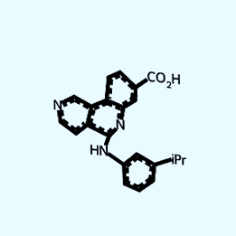 CC(C)c1cccc(Nc2nc3cc(C(=O)O)ccc3c3cnccc23)c1